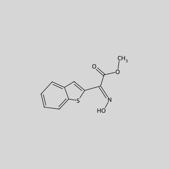 COC(=O)/C(=N/O)c1cc2ccccc2s1